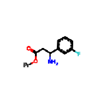 CC(C)OC(=O)CC(N)c1cccc(F)c1